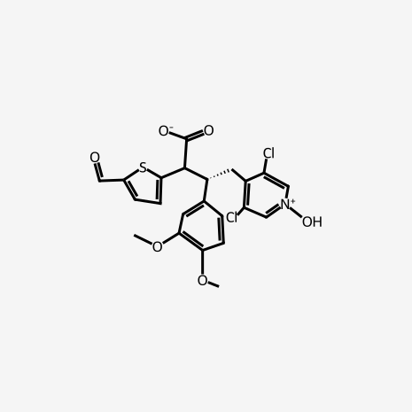 COc1ccc([C@@H](Cc2c(Cl)c[n+](O)cc2Cl)C(C(=O)[O-])c2ccc(C=O)s2)cc1OC